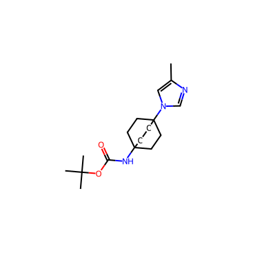 Cc1cn(C23CCC(NC(=O)OC(C)(C)C)(CC2)CC3)cn1